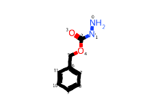 N[N]C(=O)OCc1ccccc1